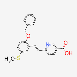 CSc1ccc(OCc2ccccc2)c(C=Cc2ccc(C(=O)O)cn2)c1